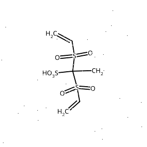 [CH2]C(S(=O)(=O)O)(S(=O)(=O)C=C)S(=O)(=O)C=C